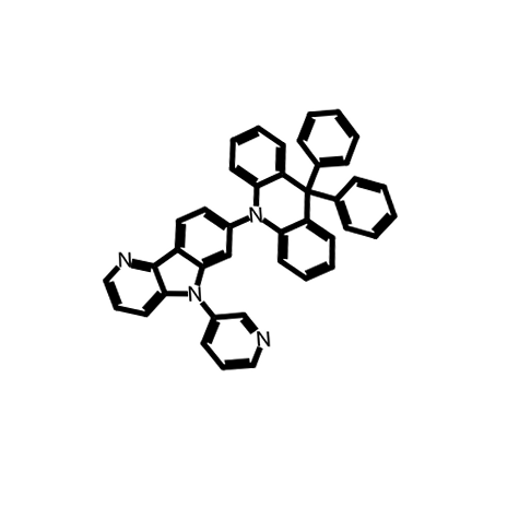 c1ccc(C2(c3ccccc3)c3ccccc3N(c3ccc4c5ncccc5n(-c5cccnc5)c4c3)c3ccccc32)cc1